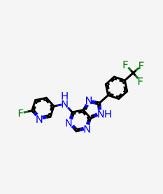 Fc1ccc(Nc2ncnc3[nH]c(-c4ccc(C(F)(F)F)cc4)nc23)cn1